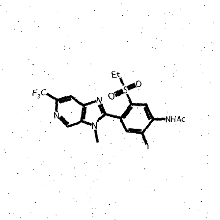 CCS(=O)(=O)c1cc(NC(C)=O)c(I)cc1-c1nc2cc(C(F)(F)F)ncc2n1C